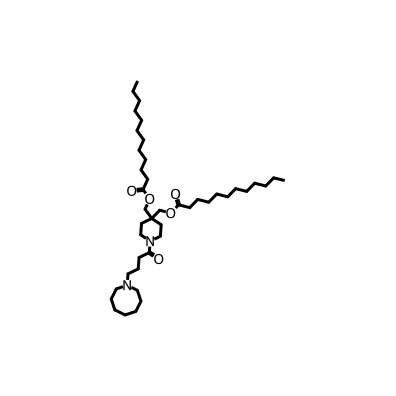 CCCCCCCCCCCC(=O)OCC1(COC(=O)CCCCCCCCCCC)CCN(C(=O)CCCN2CCCCCCC2)CC1